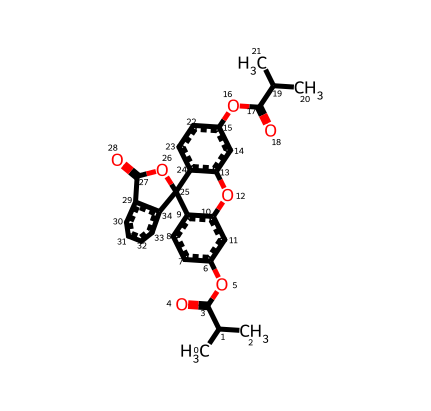 CC(C)C(=O)Oc1ccc2c(c1)Oc1cc(OC(=O)C(C)C)ccc1C21OC(=O)c2ccccc21